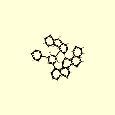 c1ccc(-c2nc(-c3cccc4ccc5c6ccc7ccccc7c6ccc5c34)nc(-c3cccc4sc5ccccc5c34)n2)cc1